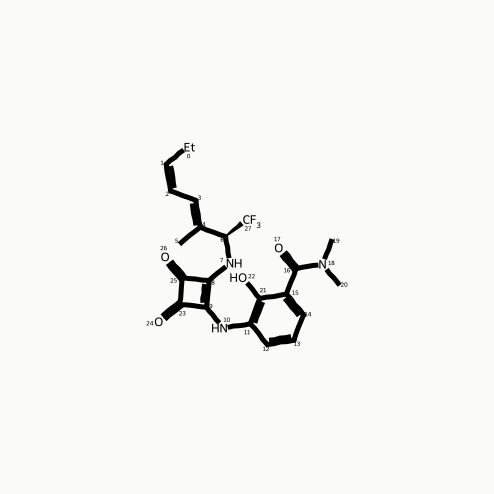 CC/C=C\C=C(/C)[C@H](Nc1c(Nc2cccc(C(=O)N(C)C)c2O)c(=O)c1=O)C(F)(F)F